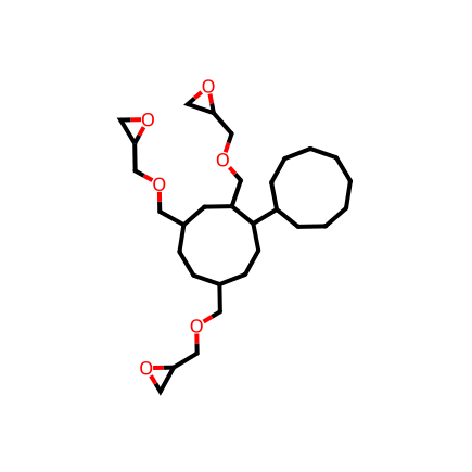 C1CCCCC(C2CCC(COCC3CO3)CCC(COCC3CO3)CC2COCC2CO2)CCC1